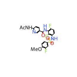 COc1ccc(S(=O)(=O)Nc2ccc(F)c(NC(=O)c3ccc(NC(C)=O)nc3)c2F)cc1F